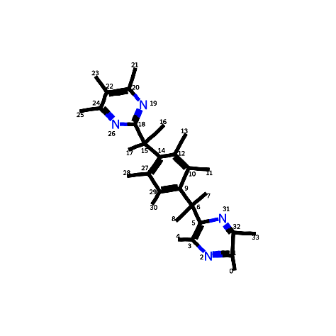 Cc1nc(C)c(C(C)(C)c2c(C)c(C)c(C(C)(C)c3nc(C)c(C)c(C)n3)c(C)c2C)nc1C